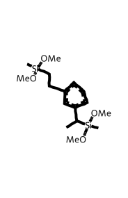 CO[Si](C)(CCc1cccc(C(C)[Si](C)(OC)OC)c1)OC